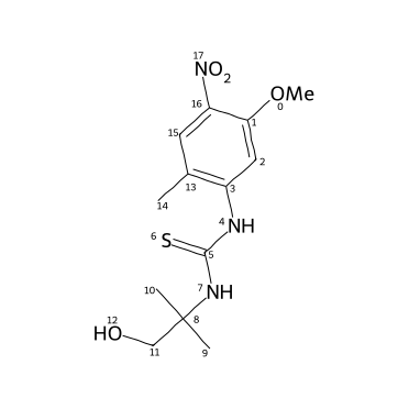 COc1cc(NC(=S)NC(C)(C)CO)c(C)cc1[N+](=O)[O-]